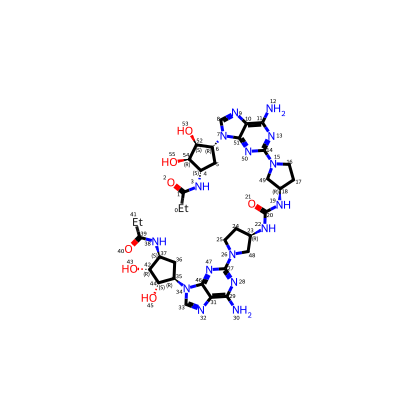 CCC(=O)N[C@H]1C[C@@H](n2cnc3c(N)nc(N4CC[C@@H](NC(=O)N[C@@H]5CCN(c6nc(N)c7ncn([C@@H]8C[C@H](NC(=O)CC)[C@@H](O)[C@H]8O)c7n6)C5)C4)nc32)[C@H](O)[C@@H]1O